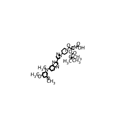 COc1cc(OC)cc(N(C)c2ccc3ncc(-c4cnn(C5CCN(C(=O)C6(OC(=O)OC(C)(C)C)CN(C(=O)O)C6)CC5)c4)nc3c2)c1